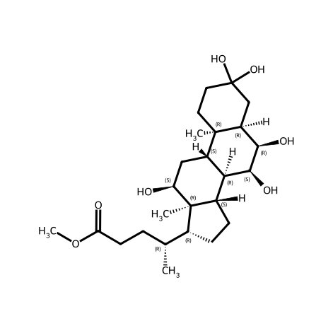 COC(=O)CC[C@@H](C)[C@H]1CC[C@H]2[C@@H]3[C@H](O)[C@H](O)[C@@H]4CC(O)(O)CC[C@]4(C)[C@H]3C[C@H](O)[C@]12C